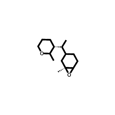 CC1OCCC[C@@H]1C(C)C1CCC2O[C@@]2(C)C1